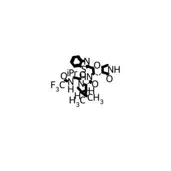 CC(C)[C@H](NC(=O)C(F)(F)F)C(=O)N1C[C@H]2[C@@H]([C@H]1C(=O)N[C@@H](C[C@@H]1CCNC1=O)C(=O)c1nc3ccccc3s1)C2(C)C